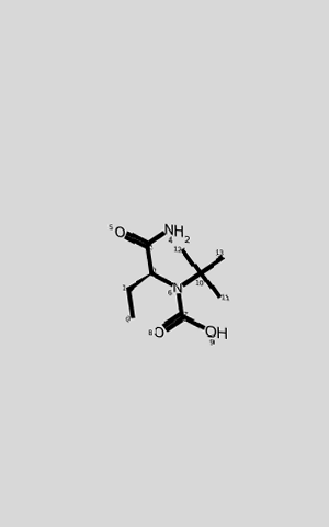 CC[C@@H](C(N)=O)N(C(=O)O)C(C)(C)C